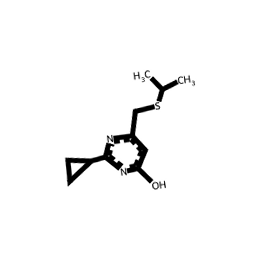 CC(C)SCc1cc(O)nc(C2CC2)n1